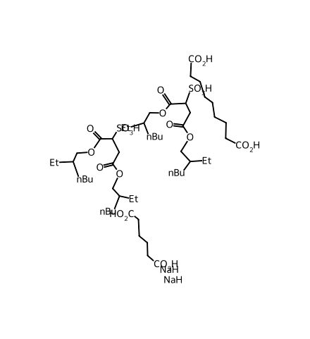 CCCCC(CC)COC(=O)CC(C(=O)OCC(CC)CCCC)S(=O)(=O)O.CCCCC(CC)COC(=O)CC(C(=O)OCC(CC)CCCC)S(=O)(=O)O.O=C(O)CCCCC(=O)O.O=C(O)CCCCCCCC(=O)O.[NaH].[NaH]